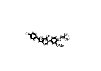 COc1cc(-n2cnc3cc(-c4ccc(Cl)cc4)sc3c2=O)ccc1OCC(O)C(F)(F)F